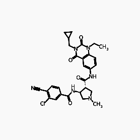 CCn1c(=O)n(CC2CC2)c(=O)c2cc(NC(=O)[C@@H]3CN(C)C[C@H]3NC(=O)c3ccc(C#N)c(Cl)c3)ccc21